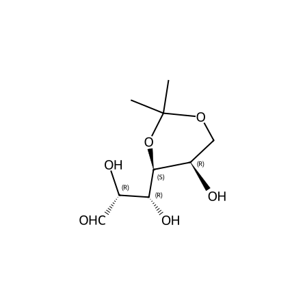 CC1(C)OC[C@@H](O)[C@@H]([C@H](O)[C@@H](O)C=O)O1